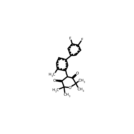 Cc1ccc(-c2ccc(F)c(F)c2)cc1C1C(=O)C(C)(C)OC(C)(C)C1=O